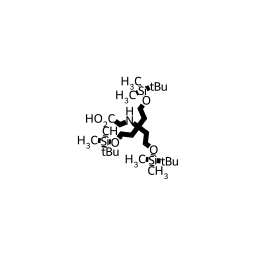 CC(C)(C)[Si](C)(C)OCCC(CCO[Si](C)(C)C(C)(C)C)(CCO[Si](C)(C)C(C)(C)C)NCC(=O)O